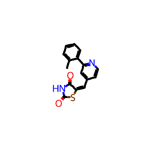 Cc1ccccc1-c1cc(C=C2SC(=O)NC2=O)ccn1